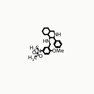 COc1ccc(N(C)S(C)(=O)=O)cc1CNC1C(c2ccccc2)NCC2CCCCC21